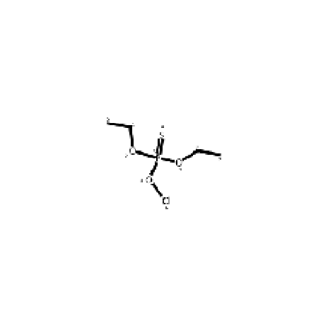 CCOP(=S)(OCl)OCC